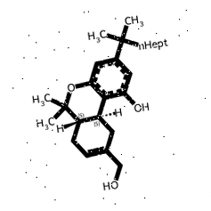 CCCCCCCC(C)(C)c1cc(O)c2c(c1)OC(C)(C)[C@H]1CC=C(CO)C[C@H]21